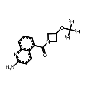 [2H]C([2H])([2H])OC1CN(C(=O)c2cccc3nc(N)ccc23)C1